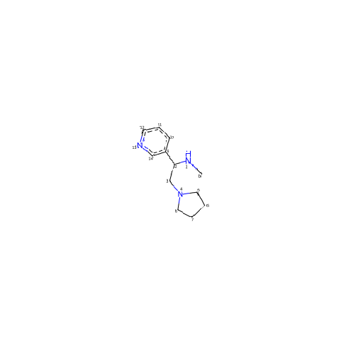 CNC(CN1CCCC1)c1cccnc1